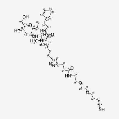 C[N+](C)(C)[C@@H](CCCCn1cc(CCC(=O)NCCOCCOCCN=[N+]=N)nn1)C(=O)NCC(CO[C@@H]1O[C@H](CO)C(O)C[C@H]1O)c1ccccc1